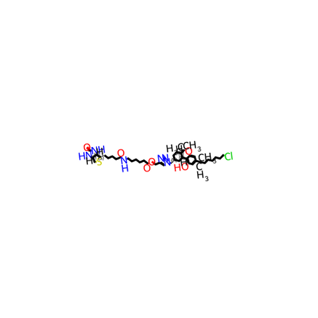 CC(C)(CCCCCCCl)c1cc(O)c2c(c1)OC(C)(C)[C@@H]1CC[C@@H](Cn3cc(COC(=O)CCCCCNC(=O)CCCC[C@@H]4SC[C@@H]5NC(=O)N[C@@H]54)nn3)C[C@@H]21